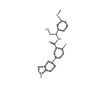 COc1cccc(C(CO)NC(=O)c2cc(-c3ccc4[nH]ncc4c3)ccc2F)c1